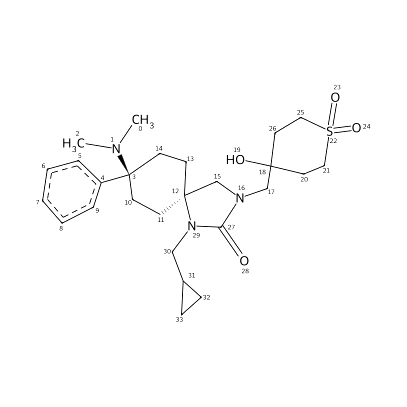 CN(C)[C@]1(c2ccccc2)CC[C@]2(CC1)CN(CC1(O)CCS(=O)(=O)CC1)C(=O)N2CC1CC1